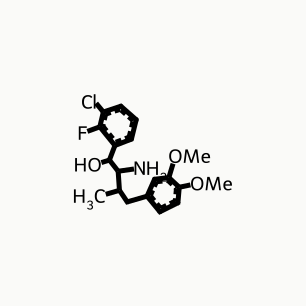 COc1ccc(CC(C)C(N)C(O)c2cccc(Cl)c2F)cc1OC